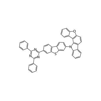 c1ccc(-c2nc(-c3ccccc3)nc(-c3ccc4c(c3)sc3cc(-n5c6ccccc6c6ccc7oc8ccccc8c7c65)ccc34)n2)cc1